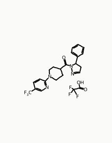 O=C(C1CCN(c2ccc(C(F)(F)F)cn2)CC1)N1N=CCC1c1ccccc1.O=C(O)C(F)(F)F